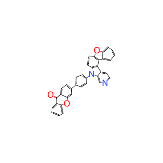 O=c1c2ccccc2oc2cc(-c3ccc(-n4c5cnccc5c5c6c(ccc54)oc4ccccc46)cc3)ccc12